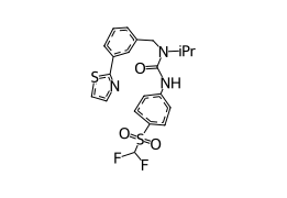 CC(C)N(Cc1cccc(-c2nccs2)c1)C(=O)Nc1ccc(S(=O)(=O)C(F)F)cc1